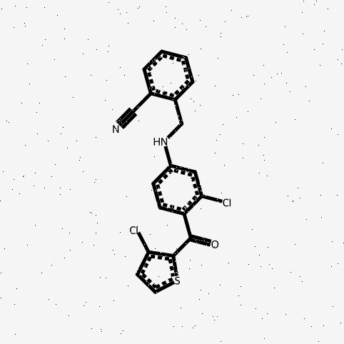 N#Cc1ccccc1CNc1ccc(C(=O)c2sccc2Cl)c(Cl)c1